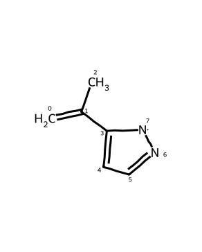 C=C(C)C1=CC=N[N]1